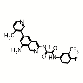 Cc1ccncc1-c1cc(N)c2cnc(NC(=O)C(=O)Nc3ccc(F)c(C(F)(F)F)c3)cc2c1